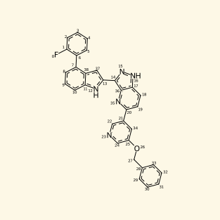 Fc1ccccc1-c1cccc2[nH]c(-c3n[nH]c4ccc(-c5cncc(OCc6ccccc6)c5)nc34)cc12